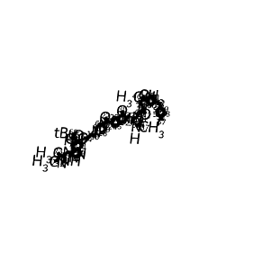 Cc1n[nH]c(Nc2ncnc3cc(OCCCN4CCN(C(=O)c5ccc6c(c5)C(=O)N(C[C@H]5CN[C@H](C)CN5CC(=O)N5CC(C)(C)c7ncc(Cc8ccc(F)cc8)cc75)C6)CC4)c(S(=O)(=O)C(C)(C)C)cc23)c1C